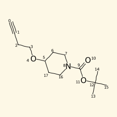 C#CCCOC1CCN(C(=O)OC(C)(C)C)CC1